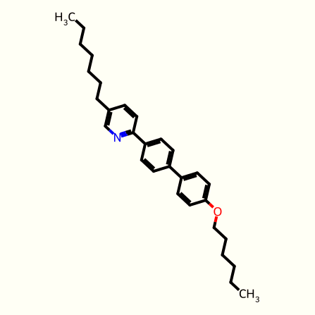 CCCCCCCc1ccc(-c2ccc(-c3ccc(OCCCCCC)cc3)cc2)nc1